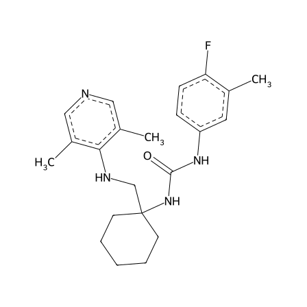 Cc1cc(NC(=O)NC2(CNc3c(C)cncc3C)CCCCC2)ccc1F